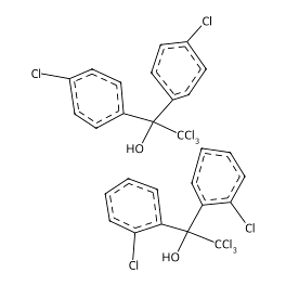 OC(c1ccc(Cl)cc1)(c1ccc(Cl)cc1)C(Cl)(Cl)Cl.OC(c1ccccc1Cl)(c1ccccc1Cl)C(Cl)(Cl)Cl